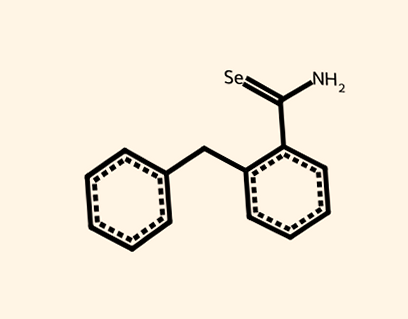 NC(=[Se])c1ccccc1Cc1ccccc1